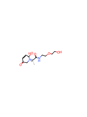 C[C@@H](C(=O)NCCOCCO)N1CC(=O)C=CC1O